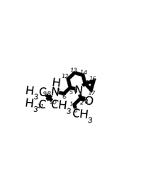 CCC(=O)N1C(CNC(C)(C)C)CCCC12CC2